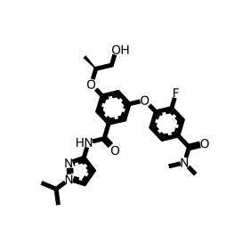 CC(C)n1ccc(NC(=O)c2cc(Oc3ccc(C(=O)N(C)C)cc3F)cc(O[C@@H](C)CO)c2)n1